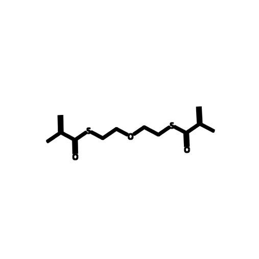 C=C(C)C(=O)SCCOCCSC(=O)C(=C)C